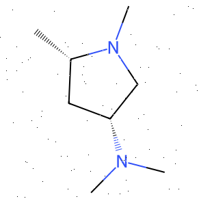 C[C@H]1C[C@@H](N(C)C)CN1C